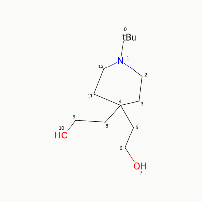 CC(C)(C)N1CCC(CCO)(CCO)CC1